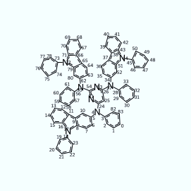 c1ccc(N(c2ccc3c(c2)c2ccccc2n3-c2ccccc2)c2cc(N(c3ccccc3)c3ccc4c5ccccc5n(-c5ccccc5)c4c3)nc(N(c3ccccc3)c3ccc4c5ccccc5n(-c5ccccc5)c4c3)n2)cc1